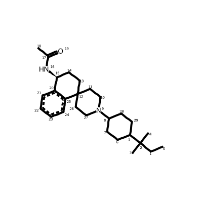 CCC(C)(C)C1CCC(N2CCC3(CC[C@H](NC(C)=O)c4ccccc43)CC2)CC1